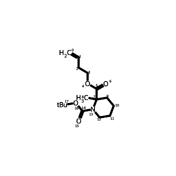 C=CCCOC(=O)C1(C)CCCCN1C(=O)OC(C)(C)C